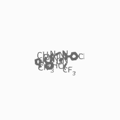 CC1C=CC(C)N1C(=O)c1ccccc1-n1cnc(Cn2nc(-c3ccc(Cl)cc3)n(C[C@H](O)C(F)(F)F)c2=O)n1